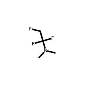 CN(C)C(F)(F)CF